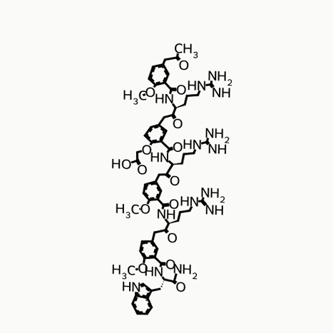 COc1ccc(CC(=O)[C@H](CCCNC(=N)N)NC(=O)c2cc(CC(=O)[C@H](CCCNC(=N)N)NC(=O)c3cc(CC(=O)[C@H](CCCNC(=N)N)NC(=O)c4cc(CC(C)=O)ccc4OC)ccc3OCC(=O)O)ccc2OC)cc1C(=O)N[C@@H](Cc1c[nH]c2ccccc12)C(N)=O